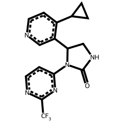 O=C1NCC(c2cnccc2C2CC2)N1c1ccnc(C(F)(F)F)n1